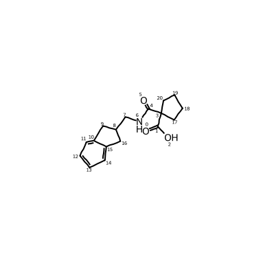 O=C(O)C1(C(=O)NCC2Cc3ccccc3C2)CCCC1